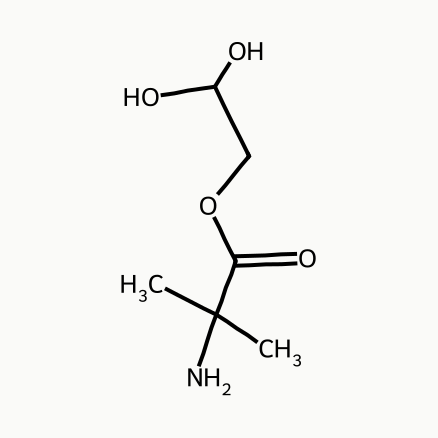 CC(C)(N)C(=O)OCC(O)O